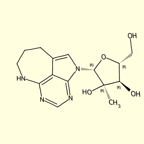 C[C@@]1(O)[C@H](O)[C@@H](CO)O[C@H]1n1cc2c3c(ncnc31)NCCC2